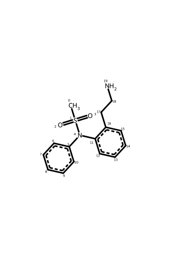 CS(=O)(=O)N(c1ccccc1)c1ccccc1CCN